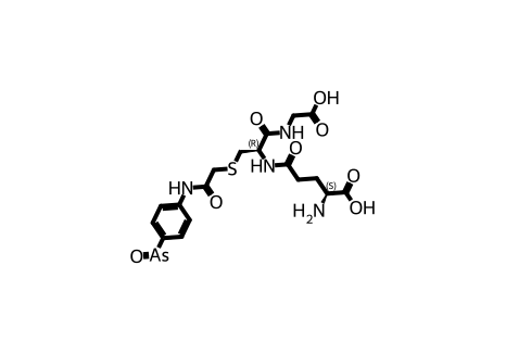 N[C@@H](CCC(=O)N[C@@H](CSCC(=O)Nc1ccc([As]=O)cc1)C(=O)NCC(=O)O)C(=O)O